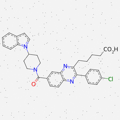 O=C(O)CCCCc1nc2cc(C(=O)N3CCC(n4ccc5ccccc54)CC3)ccc2nc1-c1ccc(Cl)cc1